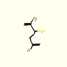 C=C(CC)CC(S)C(=C)CC